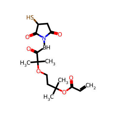 C=CC(=O)OC(C)(C)CCOC(C)(C)C(=O)BN1C(=O)CC(S)C1=O